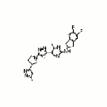 [CH2]n1cc(C2CCN(c3nnc(-c4cnc(NC5Cc6cc(F)c(F)cc6C5)nc4C)o3)C2)nn1